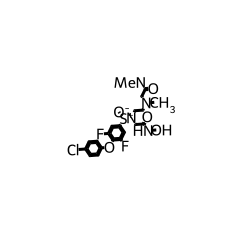 CNC(=O)CN(C)CCN(CC(=O)NO)[S+]([O-])c1cc(F)c(Oc2ccc(Cl)cc2)c(F)c1